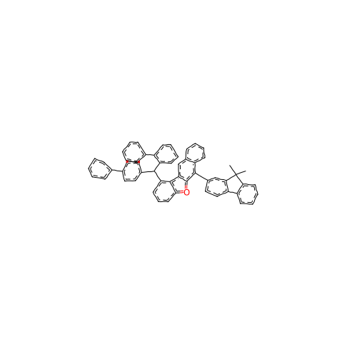 CC1(C)c2ccccc2-c2ccc(-c3c4ccccc4cc4c3oc3cccc(C(c5ccc(-c6ccccc6)cc5)c5ccccc5-c5ccccc5)c34)cc21